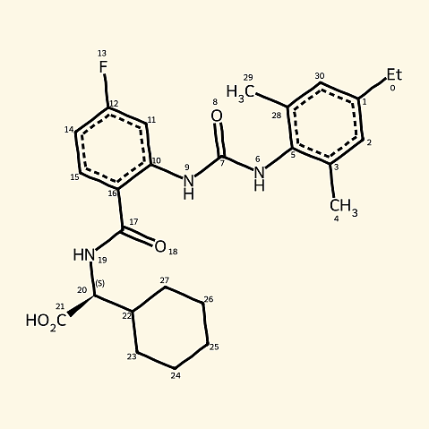 CCc1cc(C)c(NC(=O)Nc2cc(F)ccc2C(=O)N[C@H](C(=O)O)C2CCCCC2)c(C)c1